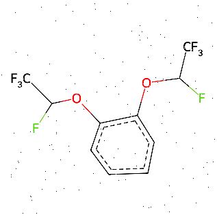 FC(Oc1ccccc1OC(F)C(F)(F)F)C(F)(F)F